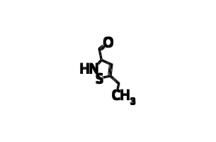 CCC1=CC(C=O)NS1